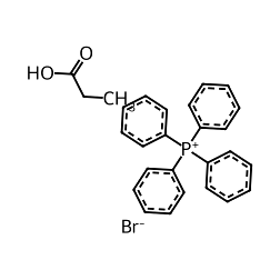 CCC(=O)O.[Br-].c1ccc([P+](c2ccccc2)(c2ccccc2)c2ccccc2)cc1